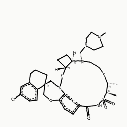 C[C@@H]1[C@@H](C)CCC[C@@H](CN2CCN(C)CC2)[C@@H]2CC[C@H]2CN2C[C@@]3(CCCc4cc(Cl)ccc43)COc3ccc(cc32)C(=O)NS1(=O)=O